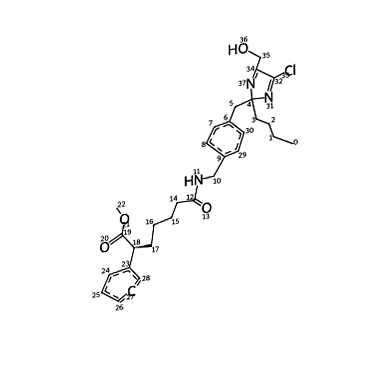 CCCCC1(Cc2ccc(CNC(=O)CCCC[C@H](C(=O)OC)c3ccccc3)cc2)N=C(Cl)C(CO)=N1